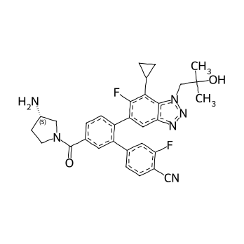 CC(C)(O)Cn1nnc2cc(-c3ccc(C(=O)N4CC[C@H](N)C4)cc3-c3ccc(C#N)c(F)c3)c(F)c(C3CC3)c21